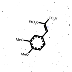 CCOC(=O)/C(=C\c1ccc(OC)c(OC)c1)C(=O)O